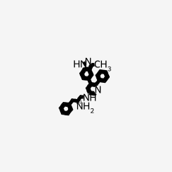 Cc1n[nH]c2ccc(-c3cc(NC[C@H](N)Cc4ccccc4)cnc3-c3ccccc3)cc12